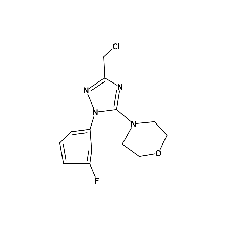 Fc1cccc(-n2nc(CCl)nc2N2CCOCC2)c1